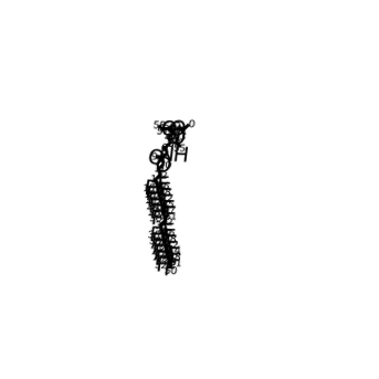 CCO[Si](CCCNC(=O)OCCCC(F)(F)C(F)(F)C(F)(F)C(F)(F)C(F)(F)C(F)(F)C=CC(F)(F)C(F)(F)C(F)(F)C(F)(F)C(F)(F)C(F)(F)F)(OCC)OCC